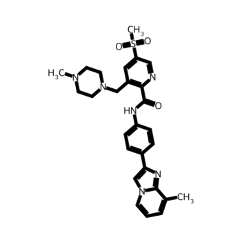 Cc1cccn2cc(-c3ccc(NC(=O)c4ncc(S(C)(=O)=O)cc4CN4CCN(C)CC4)cc3)nc12